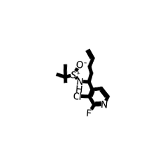 C=CCCC(N[S+]([O-])C(C)(C)C)c1ccnc(F)c1Cl